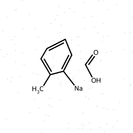 Cc1cccc[c]1[Na].O=CO